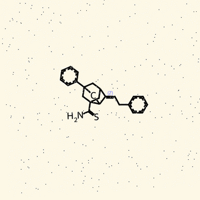 NC(=S)C12CC3CC(c4ccccc4)(CC1/C3=C\Cc1ccccc1)C2